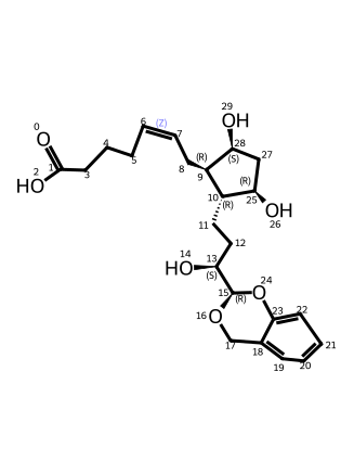 O=C(O)CCC/C=C\C[C@@H]1[C@@H](CC[C@H](O)[C@@H]2OCc3ccccc3O2)[C@H](O)C[C@@H]1O